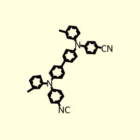 [C-]#[N+]c1ccc(N(c2ccc(-c3ccc(N(c4ccc(C#N)cc4)c4cccc(C)c4)cc3)cc2)c2cccc(C)c2)cc1